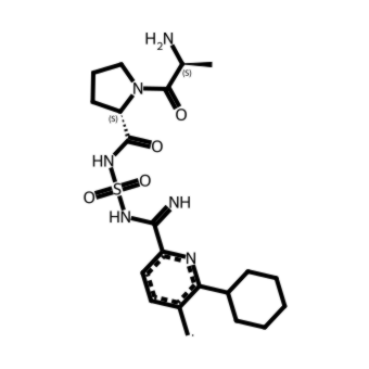 [CH2]c1ccc(C(=N)NS(=O)(=O)NC(=O)[C@@H]2CCCN2C(=O)[C@H](C)N)nc1C1CCCCC1